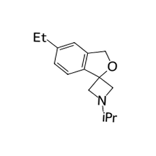 CCc1ccc2c(c1)COC21CN(C(C)C)C1